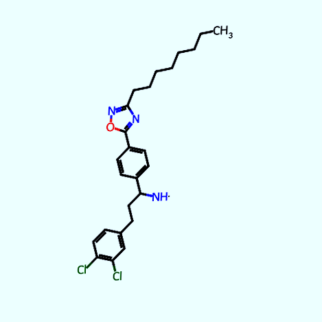 CCCCCCCCc1noc(-c2ccc(C([NH])CCc3ccc(Cl)c(Cl)c3)cc2)n1